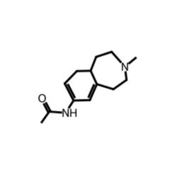 CC(=O)NC1=CCC2CCN(C)CCC2=C1